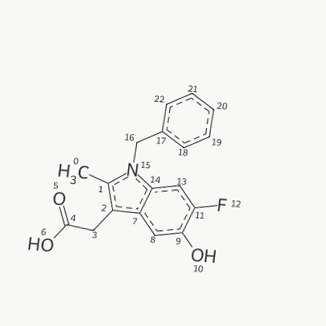 Cc1c(CC(=O)O)c2cc(O)c(F)cc2n1Cc1ccccc1